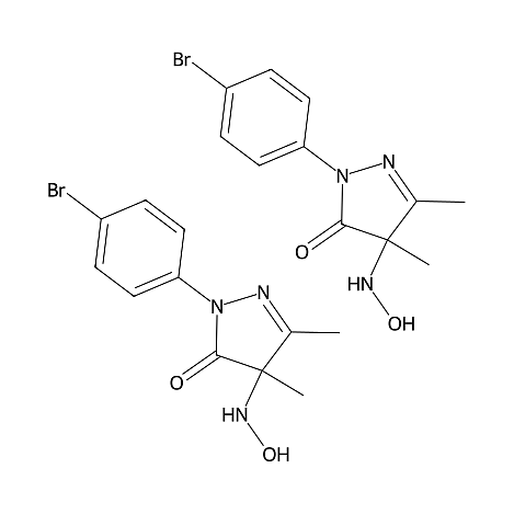 CC1=NN(c2ccc(Br)cc2)C(=O)C1(C)NO.CC1=NN(c2ccc(Br)cc2)C(=O)C1(C)NO